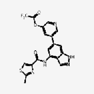 Cc1nc(C(=O)Nc2cc(-c3cncc(OC(=O)C(F)(F)F)c3)cc3[nH]ncc23)cs1